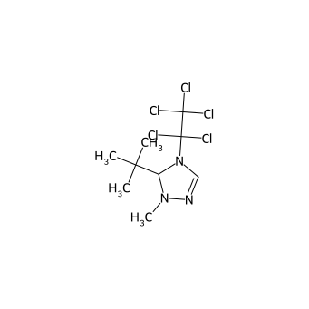 CN1N=CN(C(Cl)(Cl)C(Cl)(Cl)Cl)C1C(C)(C)C